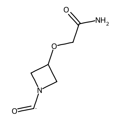 NC(=O)COC1CN([C]=O)C1